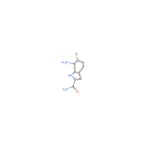 NC(=O)c1cc2ccc(Cl)c(N)c2[nH]1